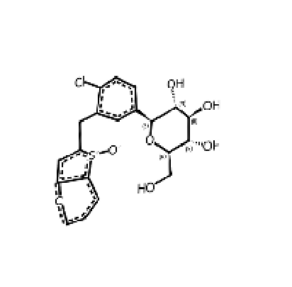 [O-][s+]1c(Cc2cc([C@@H]3O[C@H](CO)[C@@H](O)[C@H](O)[C@H]3O)ccc2Cl)cc2ccccc21